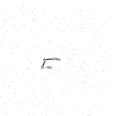 C[CH2][Al][O]C.Cl